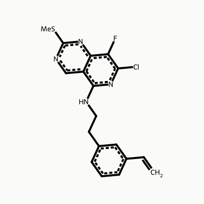 C=Cc1cccc(CCNc2nc(Cl)c(F)c3nc(SC)ncc23)c1